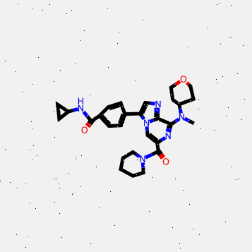 CN(c1nc(C(=O)N2CCCCC2)cn2c(-c3ccc(C(=O)NC4CC4)cc3)cnc12)C1CCOCC1